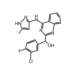 Cc1cc(Nc2nc(C(O)c3ccc(F)c(Cl)c3)nc3ccccc23)n[nH]1